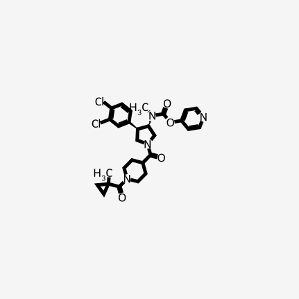 CN(C(=O)Oc1ccncc1)[C@@H]1CN(C(=O)C2CCN(C(=O)C3(C)CC3)CC2)C[C@H]1c1ccc(Cl)c(Cl)c1